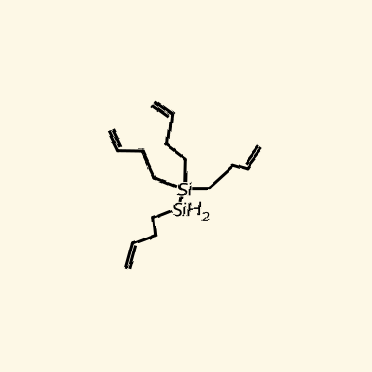 C=CCC[SiH2][Si](CCC=C)(CCC=C)CCC=C